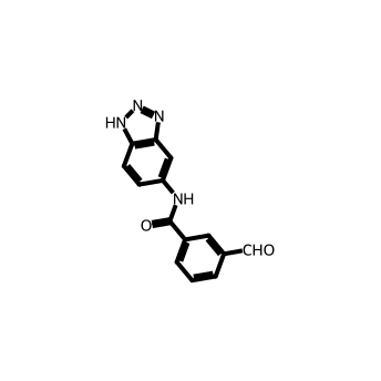 O=Cc1cccc(C(=O)Nc2ccc3[nH]nnc3c2)c1